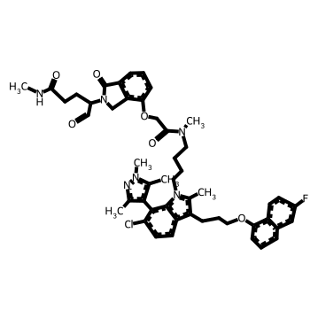 CNC(=O)CCC(C=O)N1Cc2c(OCC(=O)N(C)CCCCn3c(C)c(CCCOc4cccc5cc(F)ccc45)c4ccc(Cl)c(-c5c(C)nn(C)c5C)c43)cccc2C1=O